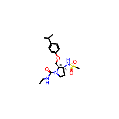 CCNC(=O)N1CC[C@H](NS(C)(=O)=O)[C@@H]1COc1ccc(C(C)C)cc1